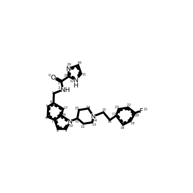 O=C(NCc1ccc2ccn(C3CCN(CCc4ccc(F)cc4)CC3)c2c1)c1ncc[nH]1